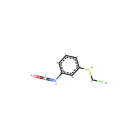 O=C=Nc1cccc(SCF)c1